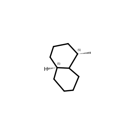 C[C@H]1CCC[C@@H]2CCCCC21